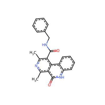 Cc1nc(C)c2c(=O)[nH]c3ccccc3c2c1C(=O)NCc1ccccc1